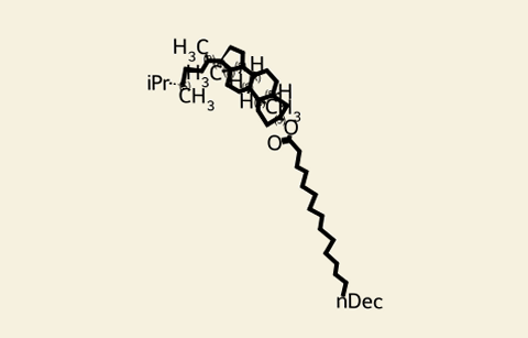 CCCCCCCCCCCCCCCCCCCCCCCC(=O)O[C@H]1CC[C@@]2(C)[C@@H](CC[C@@H]3[C@@H]2CC[C@]2(C)[C@@H]([C@H](C)CC[C@H](C)C(C)C)CC[C@@H]32)C1